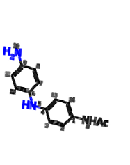 CC(=O)Nc1ccc(Nc2ccc(N)cc2)cc1